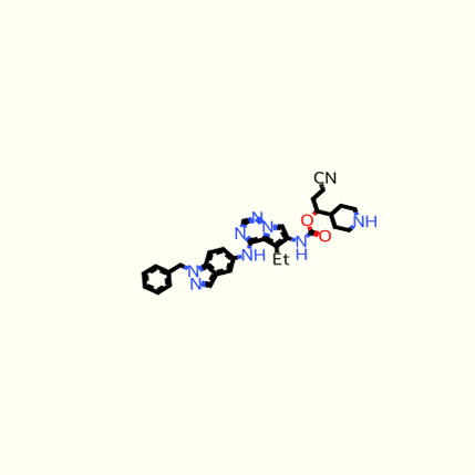 CCc1c(NC(=O)OC(CCC#N)C2CCNCC2)cn2ncnc(Nc3ccc4c(cnn4Cc4ccccc4)c3)c12